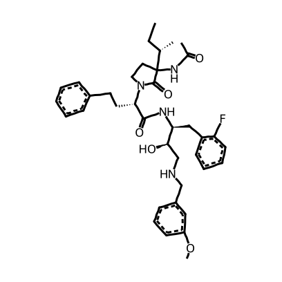 CC[C@H](C)C1(NC(C)=O)CCN([C@@H](CCc2ccccc2)C(=O)N[C@@H](Cc2ccccc2F)[C@H](O)CNCc2cccc(OC)c2)C1=O